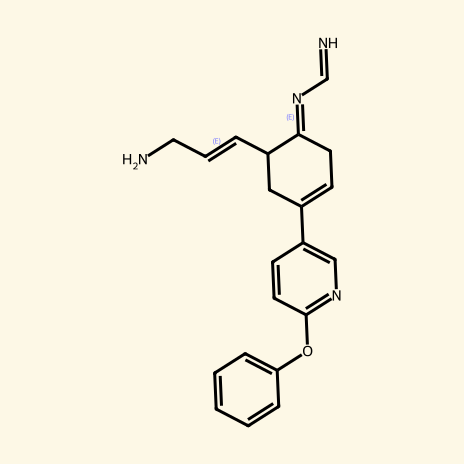 N=C/N=C1\CC=C(c2ccc(Oc3ccccc3)nc2)CC1/C=C/CN